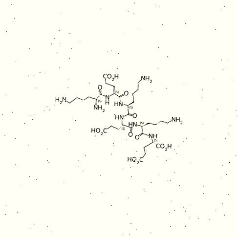 NCCCC[C@H](NC(=O)[C@H](CCC(=O)O)NC(=O)[C@H](CCCCN)NC(=O)[C@H](CCC(=O)O)NC(=O)[C@@H](N)CCCCN)C(=O)N[C@@H](CCC(=O)O)C(=O)O